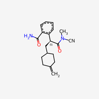 C=C1CCC(C[C@H](C(=O)N(C)C#N)c2ccccc2C(N)=O)CC1